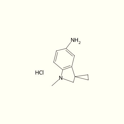 CN1CC2(CC2)c2cc(N)ccc21.Cl